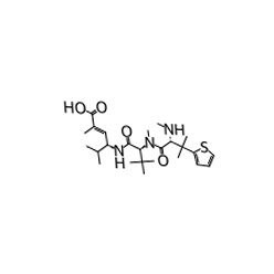 CN[C@@H](C(=O)N(C)[C@H](C(=O)N[C@H](/C=C(\C)C(=O)O)C(C)C)C(C)(C)C)C(C)(C)c1cccs1